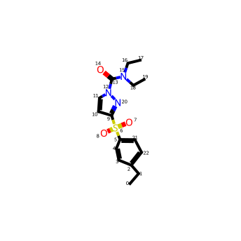 CCc1ccc(S(=O)(=O)c2ccn(C(=O)N(CC)CC)n2)cc1